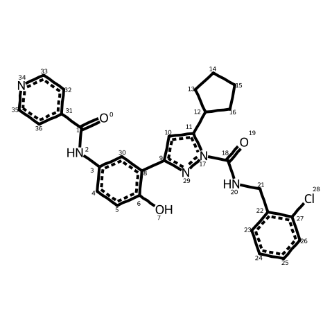 O=C(Nc1ccc(O)c(-c2cc(C3CCCC3)n(C(=O)NCc3ccccc3Cl)n2)c1)c1ccncc1